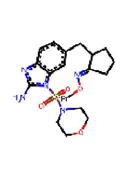 CCCON=C1CCCC1Cc1ccc2nc(N)n(S(=O)(=O)N3CCOCC3)c2c1